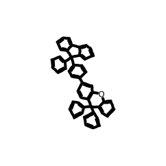 c1ccc(C2(c3ccccc3)c3ccccc3Oc3cc(-c4ccc(C5(c6ccccc6)c6ccccc6-c6ccccc65)cc4)ccc32)cc1